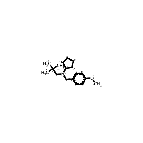 COc1ccc(CN(CC(C)(C)C)C2CCCC2)cc1